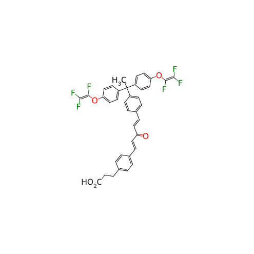 CC(c1ccc(C=CC(=O)C=Cc2ccc(CCC(=O)O)cc2)cc1)(c1ccc(OC(F)=C(F)F)cc1)c1ccc(OC(F)=C(F)F)cc1